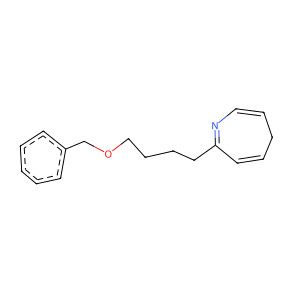 C1=CN=C(CCCCOCc2ccccc2)C=CC1